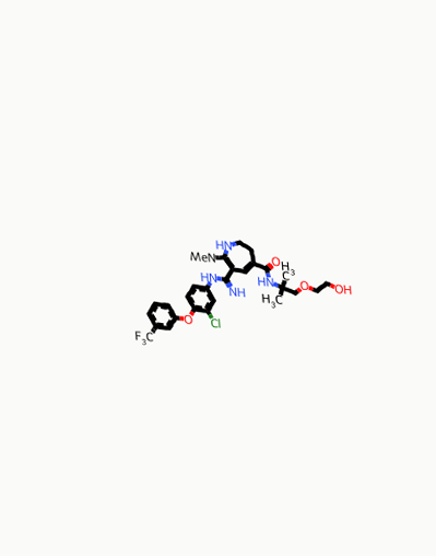 CNC1=C(C(=N)Nc2ccc(Oc3cccc(C(F)(F)F)c3)c(Cl)c2)C=C(C(=O)NC(C)(C)COCCO)CCN1